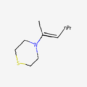 CCC/C=C(\C)N1CCSCC1